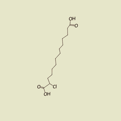 O=C(O)CCCCCCCCCCCC(Cl)C(=O)O